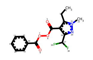 CCc1c(C(=O)OOC(=O)c2ccccc2)c(C(F)F)nn1C